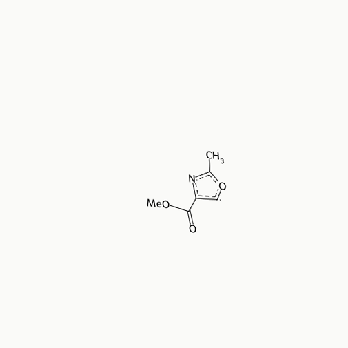 COC(=O)c1[c]oc(C)n1